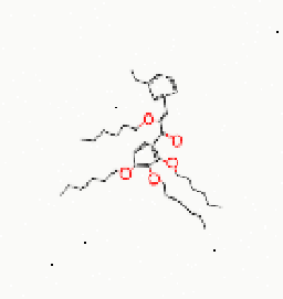 CCCCCCOC(=Cc1cccc(CC)c1)C(=O)c1ccc(OCCCCCC)c(OCCCCCC)c1OCCCCCC